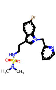 CN(C)S(=O)(=O)NCCc1cn(Cc2ccccn2)c2cc(Br)ccc12